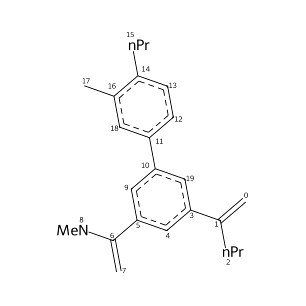 C=C(CCC)c1cc(C(=C)NC)cc(-c2ccc(CCC)c(C)c2)c1